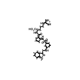 Cn1nc(CNc2cccc(S(=O)(=O)Nc3ccsc3C(=O)N[C@@H](CCCNC(=N)N)C(=O)O)c2)c2ccccc21